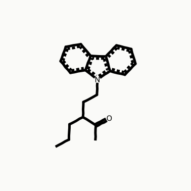 CCCC(CCn1c2ccccc2c2ccccc21)C(C)=O